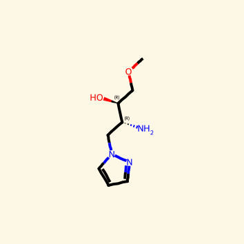 COC[C@H](O)[C@H](N)Cn1cccn1